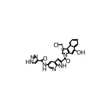 O=C(Nc1cnc2[nH]c(C(=O)N3C[C@@H](CCl)c4c3cc(O)c3ccccc43)cc2c1)c1c[nH]nn1